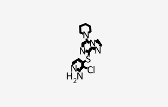 Nc1nccc(Sc2ncc(N3CCCCC3)n3ccnc23)c1Cl